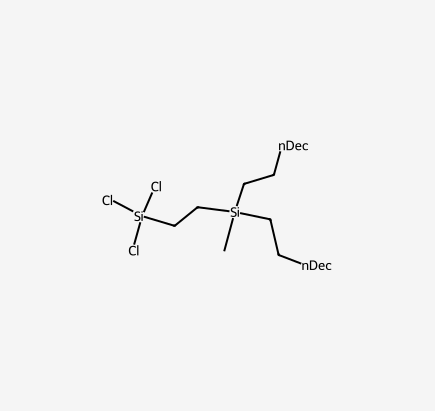 CCCCCCCCCCCC[Si](C)(CCCCCCCCCCCC)CC[Si](Cl)(Cl)Cl